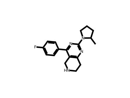 CC1CCCN1c1nc2c(c(-c3ccc(F)cc3)n1)CNCC2